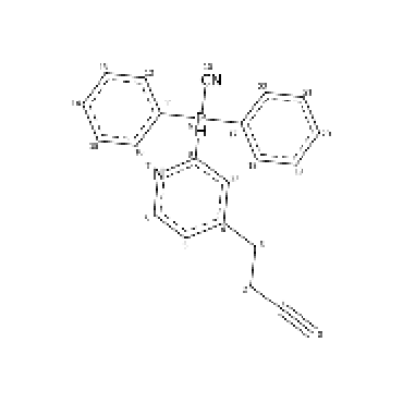 C#CCCc1ccnc([PH](C#N)(c2ccccc2)c2ccccc2)c1